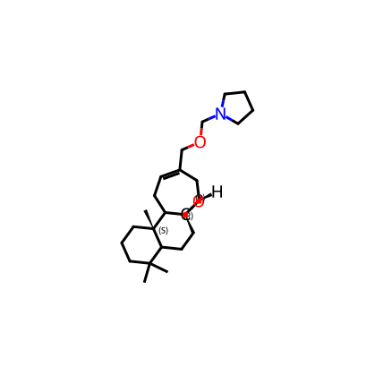 CC1(C)CCC[C@@]2(C)C1CC[C@@]13CO[C@@H]1CC(COCN1CCCC1)=CCC23